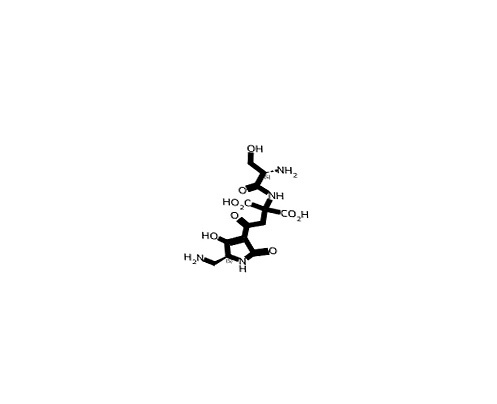 NC[C@@H]1NC(=O)C(C(=O)CC(NC(=O)[C@@H](N)CO)(C(=O)O)C(=O)O)=C1O